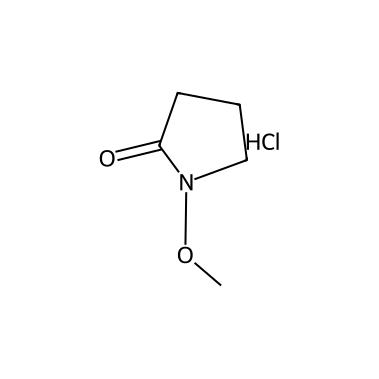 CON1CCCC1=O.Cl